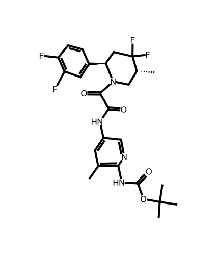 Cc1cc(NC(=O)C(=O)N2C[C@@H](C)C(F)(F)C[C@@H]2c2ccc(F)c(F)c2)cnc1NC(=O)OC(C)(C)C